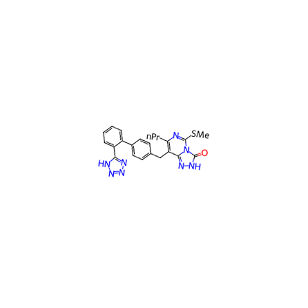 CCCc1nc(SC)n2c(=O)[nH]nc2c1Cc1ccc(-c2ccccc2-c2nnn[nH]2)cc1